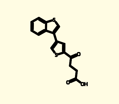 O=C(O)CCC(=O)c1cc(-c2csc3ccccc23)cs1